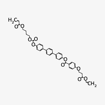 C=COC(=O)CCOc1ccc(C(=O)Oc2ccc(-c3ccc(-c4ccc(OC(=O)OCCCCOC(=O)C=C)cc4)cc3)cc2)cc1